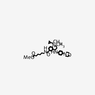 COC(=O)CCCCCNC(=O)c1ccc2c(c1)C(Nc1ccc(N3CCOCC3)cc1)CC(C)N2C(C)C1CC1